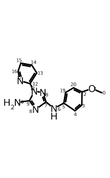 COc1ccc(Nc2nc(N)n(-c3ccccn3)n2)cc1